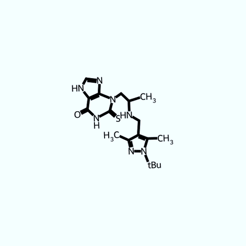 Cc1nn(C(C)(C)C)c(C)c1CNC(C)Cn1c(=S)[nH]c(=O)c2[nH]cnc21